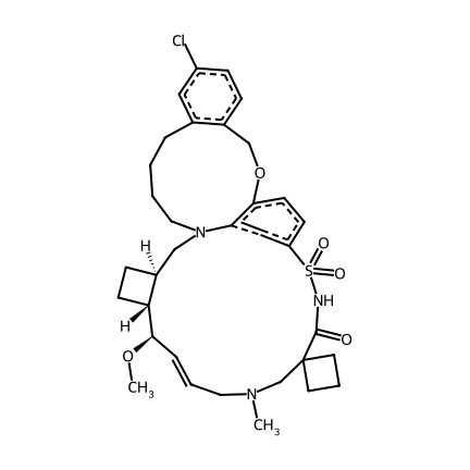 CO[C@@H]1/C=C/CN(C)CC2(CCC2)C(=O)NS(=O)(=O)c2ccc3c(c2)N(CCCCc2cc(Cl)ccc2CO3)C[C@@H]2CC[C@H]21